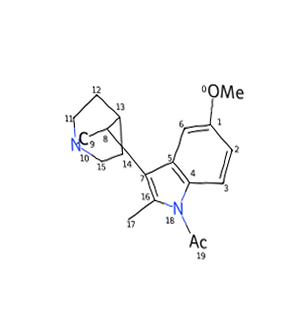 COc1ccc2c(c1)c(C1CN3CCC1CC3)c(C)n2C(C)=O